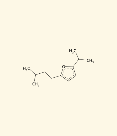 CC(C)CCc1ccc(C(C)C)o1